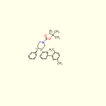 Cc1ccc(C)c(-c2cccc([C@H]3CN(C(=O)OC(C)(C)C)CC[C@@H]3c3ccccc3)c2)c1